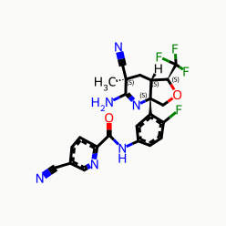 C[C@]1(C#N)C[C@@H]2[C@@H](C(F)(F)F)OC[C@]2(c2cc(NC(=O)c3ccc(C#N)cn3)ccc2F)N=C1N